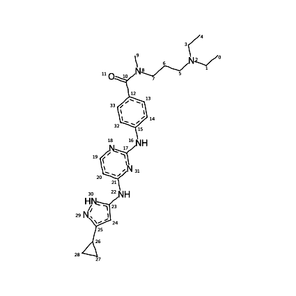 CCN(CC)CCCN(C)C(=O)c1ccc(Nc2nccc(Nc3cc(C4CC4)n[nH]3)n2)cc1